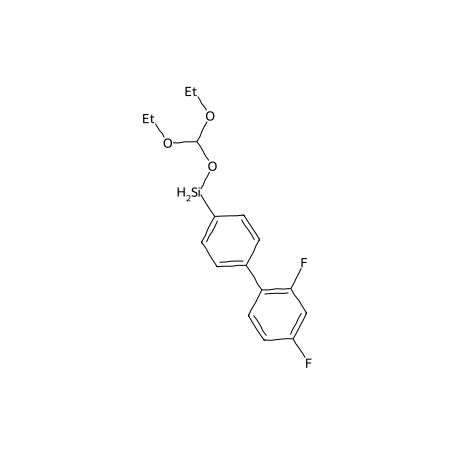 CCOC(OCC)O[SiH2]c1ccc(-c2ccc(F)cc2F)cc1